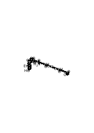 CCc1c2c(nc3ccc(O)cc13)-c1cc3c(c(=O)n1C2)COC(=O)[C@@]3(CC)OC(=O)CNC(=O)C(N)CCCCNC(=O)COCCOCCOCCNC(=O)CCCCCN1C(=O)C=CC1=O